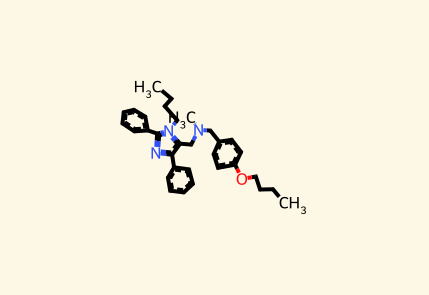 CCCCOc1ccc(CN(C)Cc2c(-c3ccccc3)nc(-c3ccccc3)n2CCCC)cc1